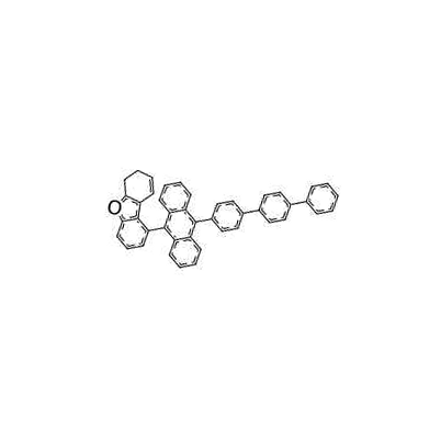 C1=Cc2c(oc3cccc(-c4c5ccccc5c(-c5ccc(-c6ccc(-c7ccccc7)cc6)cc5)c5ccccc45)c23)CC1